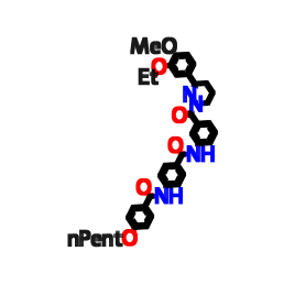 CCCCCOc1ccc(C(=O)Nc2ccc(C(=O)Nc3cccc(C(=O)N4CCCC(c5ccc(OC)c(OCC)c5)=N4)c3)cc2)cc1